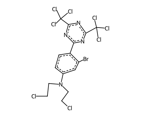 ClCCN(CCCl)c1ccc(-c2nc(C(Cl)(Cl)Cl)nc(C(Cl)(Cl)Cl)n2)c(Br)c1